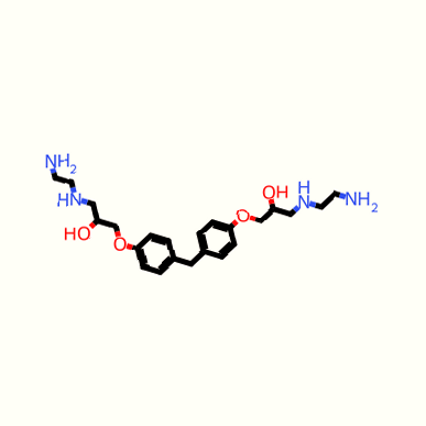 NCCNCC(O)COc1ccc(Cc2ccc(OCC(O)CNCCN)cc2)cc1